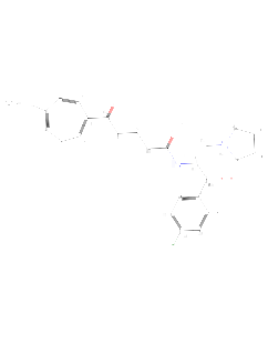 COC1=CCC=C(C(=O)CCCC(=O)N[C@H](CN2CCCC2)[C@H](O)c2ccc(Cl)cc2)C=C1